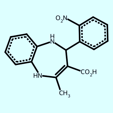 CC1=C(C(=O)O)C(c2ccccc2[N+](=O)[O-])Nc2ccccc2N1